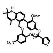 COc1ccc([N+](=O)[O-])cc1OCc1c(-c2ccc(OC(=O)c3ccsc3)cc2OC)ccc2c1C(C)=CC(C)(C)N2